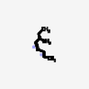 C/C=C/N=C\N(N)CC